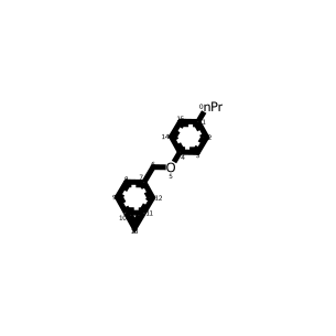 CCCc1ccc(OCc2ccc3c(c2)=C=3)cc1